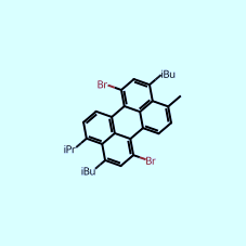 CCC(C)c1cc(Br)c2c3ccc(C(C)C)c4c(C(C)CC)cc(Br)c(c5ccc(C)c1c52)c43